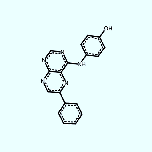 Oc1ccc(Nc2ncnc3ncc(-c4ccccc4)nc23)cc1